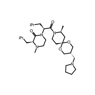 CC(C)C[C@H]1C(=O)N([C@@H](CC(C)C)C(=O)N2CC[C@]3(C[C@@H]2C)OC[C@@H](CN2CCCC2)CO3)CCN1C